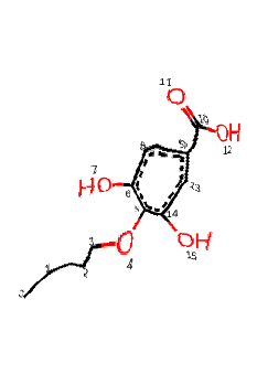 CCCCOc1c(O)cc(C(=O)O)cc1O